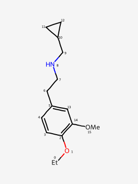 CCOc1ccc(CCNCC2CC2)cc1OC